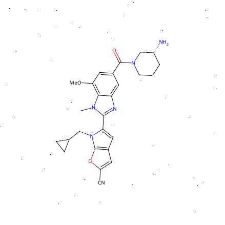 COc1cc(C(=O)N2CCC[C@@H](N)C2)cc2nc(-c3cc4cc(C#N)oc4n3CC3CC3)n(C)c12